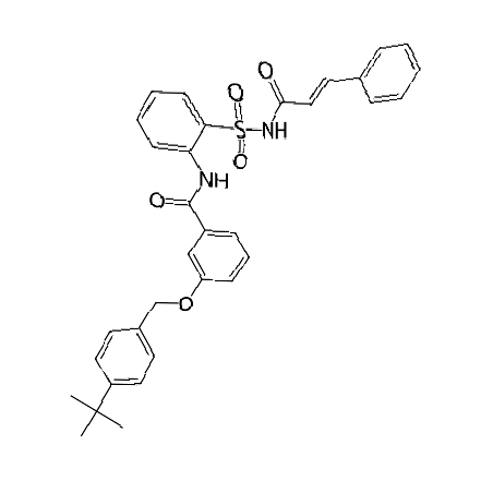 CC(C)(C)c1ccc(COc2cccc(C(=O)Nc3ccccc3S(=O)(=O)NC(=O)/C=C/c3ccccc3)c2)cc1